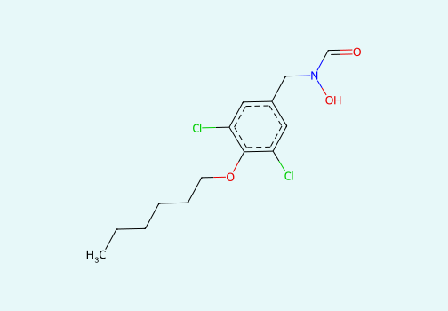 CCCCCCOc1c(Cl)cc(CN(O)C=O)cc1Cl